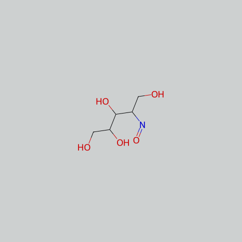 O=NC(CO)C(O)C(O)CO